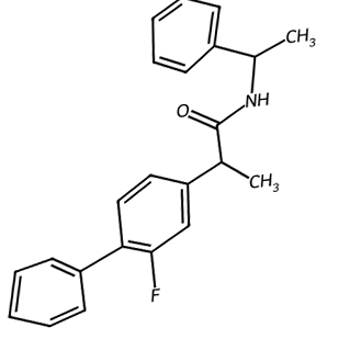 CC(NC(=O)C(C)c1ccc(-c2ccccc2)c(F)c1)c1ccccc1